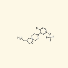 CCC1COC2(CCN(c3cc(OC(F)(F)F)ccc3F)CC2)C1